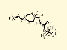 C=CCN1CC[Si](C)(CNC(=O)OC(C)(C)C)CC1